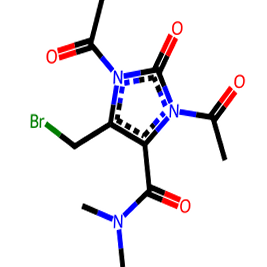 CC(=O)n1c(CBr)c(C(=O)N(C)C)n(C(C)=O)c1=O